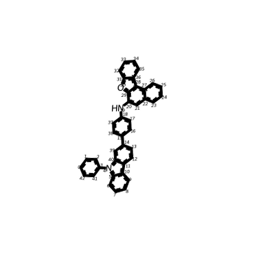 c1ccc(-n2c3ccccc3c3ccc(-c4ccc(Nc5cc6ccccc6c6c5oc5ccccc56)cc4)cc32)cc1